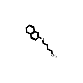 CCCCCOc1ccc2c(c1)C=CCC2